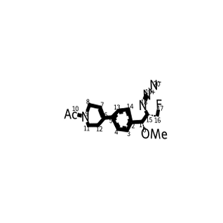 CO[C@H](c1ccc(C2=CCN(C(C)=O)CC2)cc1)[C@@H](CF)N=[N+]=[N-]